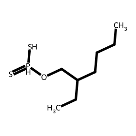 CCCCC(CC)CO[PH](=S)S